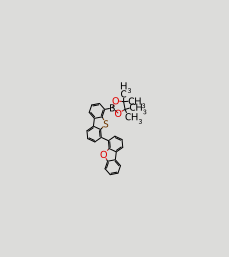 CC1(C)OB(c2cccc3c2sc2c(-c4cccc5c4oc4ccccc45)cccc23)OC1(C)C